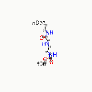 CCCCCCCCCCCCNC(=O)CNCCNC(=O)OC(C)(C)C